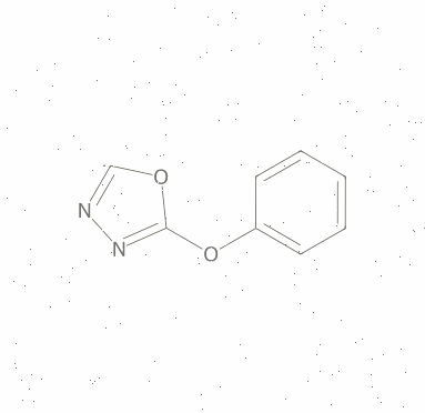 [c]1nnc(Oc2ccccc2)o1